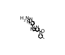 C[C@H]1CCCN(C(=O)c2cnc3c(cnn3-c3ccc4nc(N)nn4c3)c2)C1